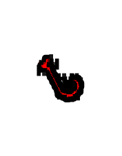 CC(=O)N1c2ccc(-c3ccc(C(=O)NCCOCCOCCOCCOCCOCCOCCOCCOCCNC(=O)c4nc(NC(=O)CCNC(=O)c5cc(NC(=O)c6nc(NC(=O)CCNC(=O)c7cc(NC(=O)c8nc(NC(=O)CCN)cn8C)cn7C)cn6C)cn5C)cn4C)cc3)cc2[C@H](Nc2ccc(Cl)cc2)C[C@@H]1C